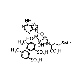 CSCCC(NC[C@H]1O[C@@H](n2cnc3c(N)ncnc32)[C@H](O)[C@@H]1O)C(=O)O.Cc1ccc(S(=O)(=O)O)cc1.Cc1ccc(S(=O)(=O)O)cc1